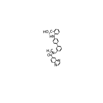 CN(Cc1cccc(-c2ccc(Nc3ccccc3C(=O)O)cc2)c1)C(=O)c1ccc2nccnc2c1